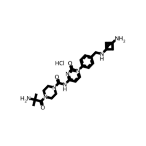 CC(C)(N)C(=O)N1CCN(C(=O)Nc2ccn(-c3ccc(CNC45CC(N)(C4)C5)cc3)c(=O)n2)CC1.Cl